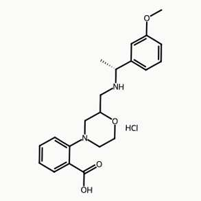 COc1cccc([C@@H](C)NCC2CN(c3ccccc3C(=O)O)CCO2)c1.Cl